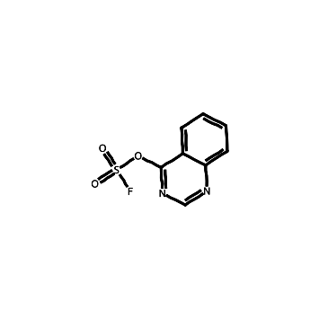 O=S(=O)(F)Oc1ncnc2ccccc12